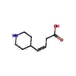 O=C(O)C/C=C\C1CCNCC1